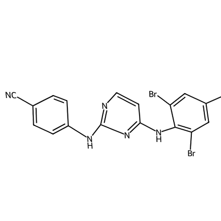 Cc1cc(Br)c(Nc2ccnc(Nc3ccc(C#N)cc3)n2)c(Br)c1